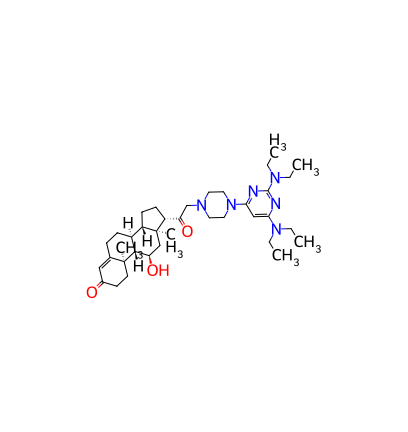 CCN(CC)c1cc(N2CCN(CC(=O)[C@H]3CC[C@H]4[C@@H]5CCC6=CC(=O)CC[C@]6(C)[C@H]5[C@H](O)C[C@]34C)CC2)nc(N(CC)CC)n1